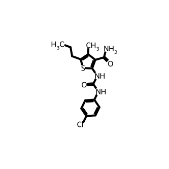 CCCc1sc(NC(=O)Nc2ccc(Cl)cc2)c(C(N)=O)c1C